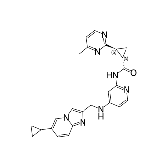 Cc1ccnc([C@H]2C[C@@H]2C(=O)Nc2cc(NCc3cn4cc(C5CC5)ccc4n3)ccn2)n1